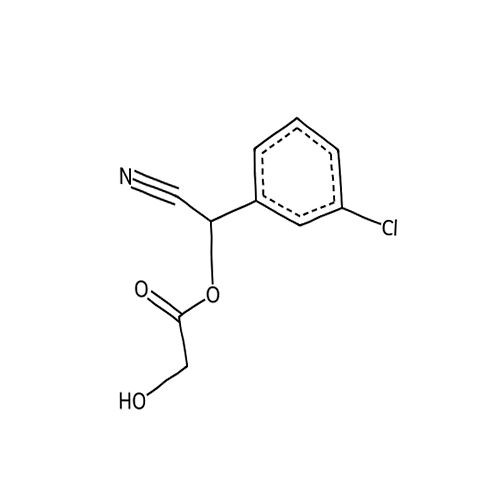 N#CC(OC(=O)CO)c1cccc(Cl)c1